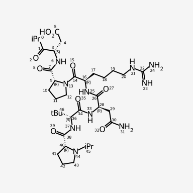 CC(C)C(=O)[C@H](CC(=O)O)NC(=O)[C@H]1CCCN1C(=O)[C@@H](CCCCNC(=N)N)NC(=O)[C@@H](CC(N)=O)NC(=O)[C@H](NC(=O)[C@H]1CCCN1C(C)C)C(C)(C)C